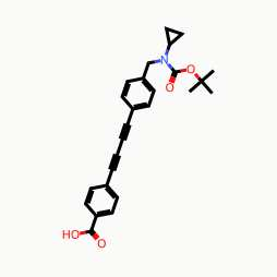 CC(C)(C)OC(=O)N(Cc1ccc(C#CC#Cc2ccc(C(=O)O)cc2)cc1)C1CC1